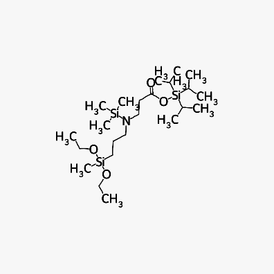 CCO[Si](C)(CCCN(CCC(=O)O[Si](C(C)C)(C(C)C)C(C)C)[Si](C)(C)C)OCC